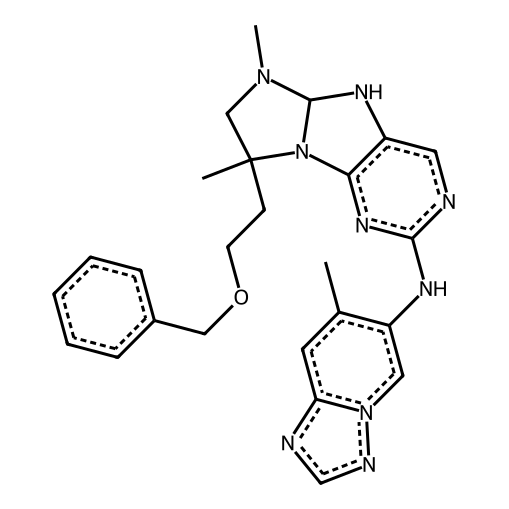 Cc1cc2ncnn2cc1Nc1ncc2c(n1)N1C(N2)N(C)CC1(C)CCOCc1ccccc1